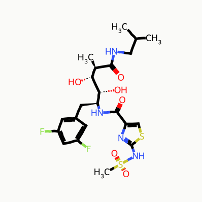 CC(C)CNC(=O)[C@H](C)[C@@H](O)[C@H](O)[C@H](Cc1cc(F)cc(F)c1)NC(=O)c1csc(NS(C)(=O)=O)n1